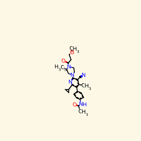 COCCC(=O)N1CCN(c2nc(C3CC3)c(-c3ccc(NC(C)=O)cc3)c(C)c2C#N)C[C@H]1C